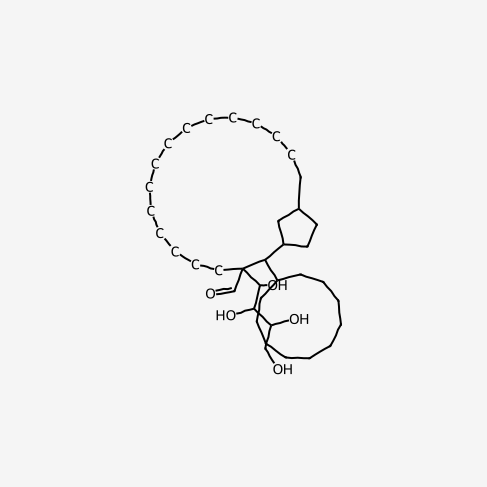 O=CC1(C(O)C(O)C(O)CO)CCCCCCCCCCCCCCCC2CCC(C2)C1C1CCCCCCCCCC1